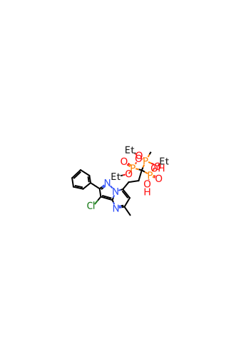 CCOP(C)(=O)C(CCc1cc(C)nc2c(Cl)c(-c3ccccc3)nn12)(P(=O)(O)O)P(=O)(OCC)OCC